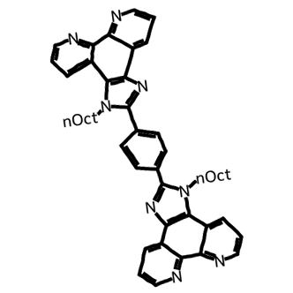 CCCCCCCCn1c(-c2ccc(-c3nc4c5cccnc5c5ncccc5c4n3CCCCCCCC)cc2)nc2c3cccnc3c3ncccc3c21